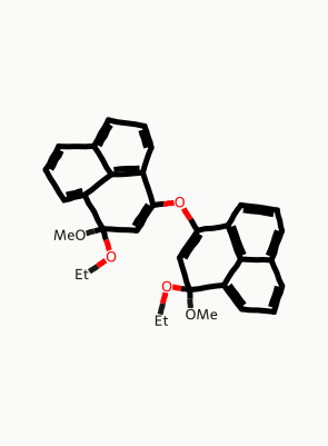 CCOC1(OC)C=C(OC2=CC(OC)(OCC)c3cccc4cccc2c34)c2cccc3cccc1c23